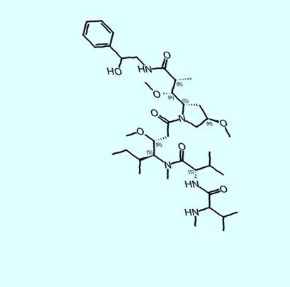 CCC(C)[C@@H]([C@@H](CC(=O)N1C[C@H](OC)C[C@H]1[C@H](OC)[C@@H](C)C(=O)NCC(O)c1ccccc1)OC)N(C)C(=O)[C@@H](NC(=O)C(NC)C(C)C)C(C)C